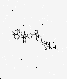 Nc1nc(CC2(O)CCN(C(=O)c3ccc(N[S+]([O-])c4cccc5scnc45)cc3)CC2)cs1